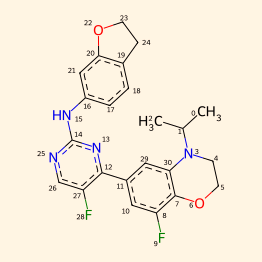 CC(C)N1CCOc2c(F)cc(-c3nc(Nc4ccc5c(c4)OCC5)ncc3F)cc21